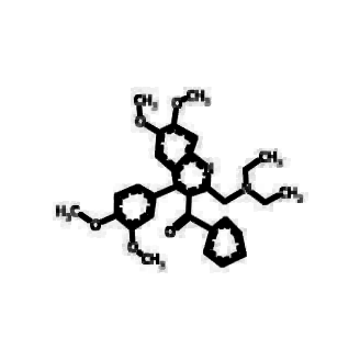 CCN(CC)Cc1nc2cc(OC)c(OC)cc2c(-c2ccc(OC)c(OC)c2)c1C(=O)c1ccccc1